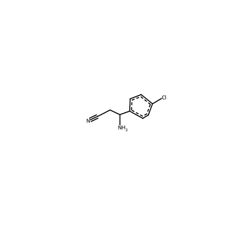 N#CCC(N)c1ccc(Cl)cc1